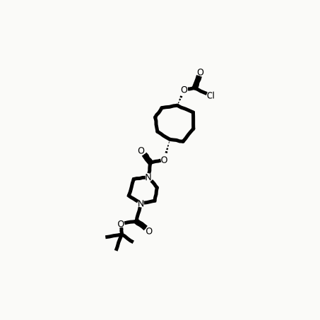 CC(C)(C)OC(=O)N1CCN(C(=O)O[C@H]2CCC[C@@H](OC(=O)Cl)CCC2)CC1